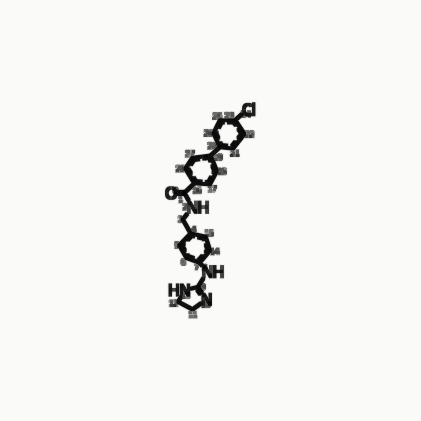 O=C(NCc1ccc(NC2=NCCN2)cc1)c1ccc(-c2ccc(Cl)cc2)cc1